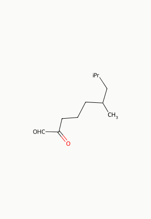 CC(C)CC(C)CCCC(=O)C=O